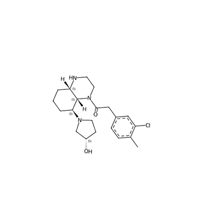 Cc1ccc(CC(=O)N2CCN[C@H]3CCC[C@H](N4CC[C@H](O)C4)[C@H]32)cc1Cl